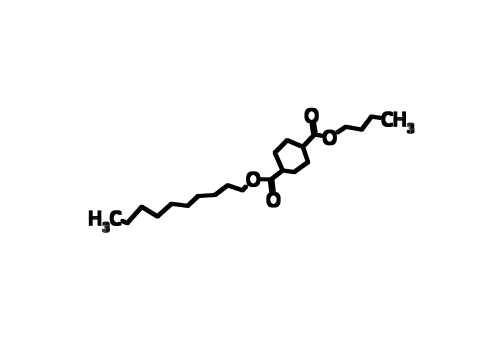 CCCCCCCCCCOC(=O)C1CCC(C(=O)OCCCC)CC1